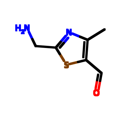 Cc1nc(CN)sc1C=O